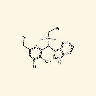 CC(C)CC(C)(C)C(c1oc(CO)cc(=O)c1O)c1c[nH]c2ccccc12